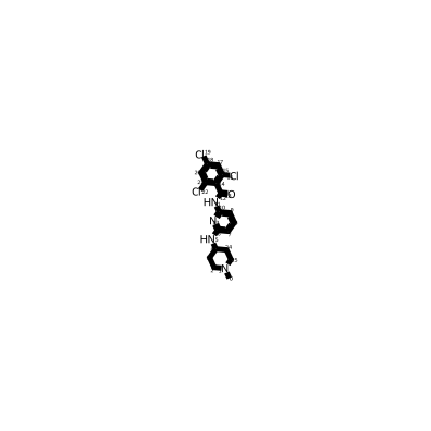 CN1CCC(Nc2cccc(NC(=O)c3c(Cl)cc(Cl)cc3Cl)n2)CC1